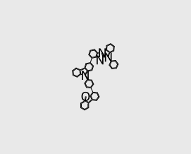 c1ccc(-n2c3ccccc3n3c4cccc(-c5ccc6c(c5)c5ccccc5n6-c5ccc(-c6cccc7c6oc6ccccc67)cc5)c4nc23)cc1